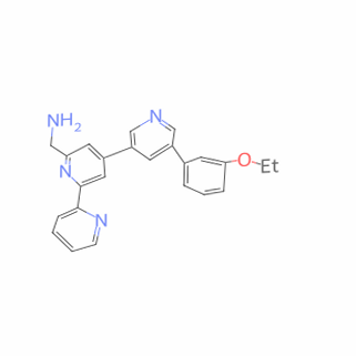 CCOc1cccc(-c2cncc(-c3cc(CN)nc(-c4ccccn4)c3)c2)c1